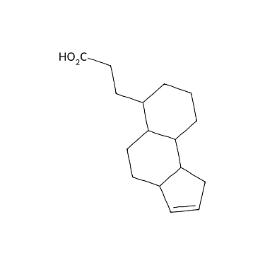 O=C(O)CCC1CCCC2C3CC=CC3CCC12